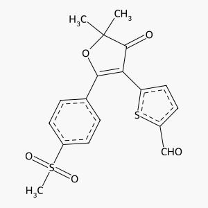 CC1(C)OC(c2ccc(S(C)(=O)=O)cc2)=C(c2ccc(C=O)s2)C1=O